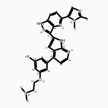 Cc1ncc(-c2ccc3[nH]nc(-c4cc5c(-c6cc(F)cc(OCCN(C)C)c6)ccnc5[nH]4)c3n2)n1C